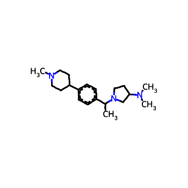 CC(c1ccc(C2CCN(C)CC2)cc1)N1CCC(N(C)C)C1